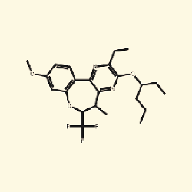 CCCC(CC)Oc1nc2c(nc1CC)-c1ccc(OC)cc1OC(C(F)(F)F)C2C